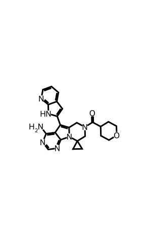 Nc1ncnc2c1c(-c1cc3cccnc3[nH]1)c1n2C2(CC2)CN(C(=O)C2CCOCC2)C1